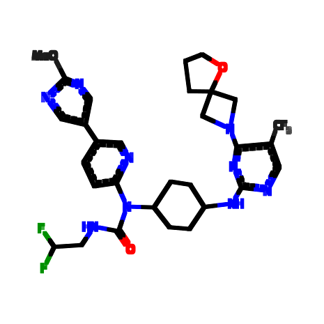 COc1ncc(-c2ccc(N(C(=O)NCC(F)F)C3CCC(Nc4ncc(C(F)(F)F)c(N5CC6(CCCO6)C5)n4)CC3)nc2)cn1